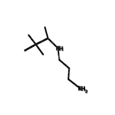 CC(NCCCN)C(C)(C)C